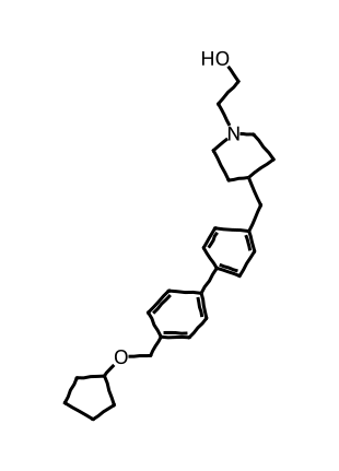 OCCN1CCC(Cc2ccc(-c3ccc(COC4CCCC4)cc3)cc2)CC1